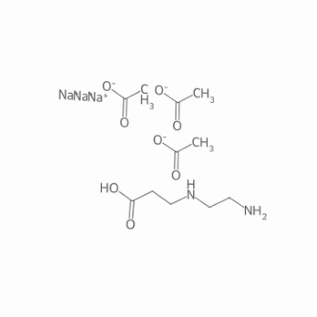 CC(=O)[O-].CC(=O)[O-].CC(=O)[O-].NCCNCCC(=O)O.[Na+].[Na+].[Na+]